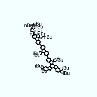 CCCCC(CC)CC1(CC(CC)CCCC)c2cc(-c3ccc4c(c3)C(CC(C)CC)(CC(C)CC)c3cc(-c5ccc6c(c5)C(CC(C)CC)(CC(C)CC)c5c-6c6c(c7c5=CC5=CC(CC(C)CC)(CC(C)CC)C=CC=75)C=C5C=CC(CC(C)CC)(CC(C)CC)C=C56)ccc3-4)ccc2-c2ccc(-c3cc[c]([Sn]([CH2]CCC)([CH2]CCC)[CH2]CCC)s3)cc21